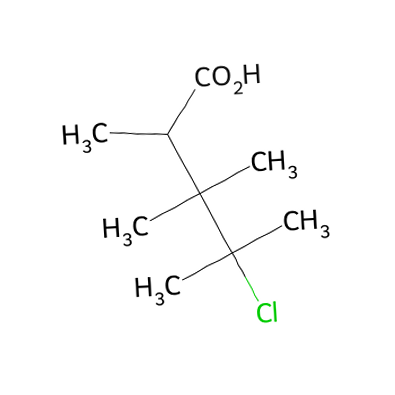 CC(C(=O)O)C(C)(C)C(C)(C)Cl